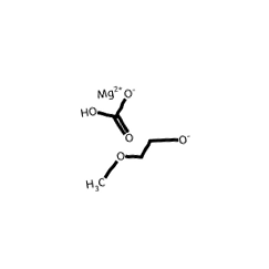 COCC[O-].O=C([O-])O.[Mg+2]